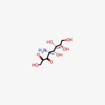 N[C@@H](C(=O)C(=O)CO)[C@@H](O)[C@H](O)[C@H](O)CO